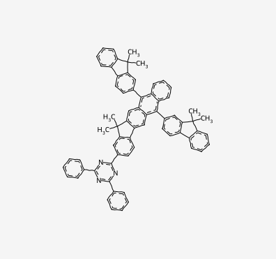 CC1(C)c2ccccc2-c2ccc(-c3c4ccccc4c(-c4ccc5c(c4)C(C)(C)c4ccccc4-5)c4cc5c(cc34)-c3ccc(-c4nc(-c6ccccc6)nc(-c6ccccc6)n4)cc3C5(C)C)cc21